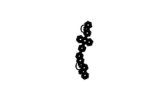 CC1(C)c2ccccc2-c2ccc3c(oc4cc5ccc(-c6ccc(-c7c8ccccc8c(-c8ccc9c(c8)oc8ccccc89)c8ccccc78)cc6)cc5cc43)c21